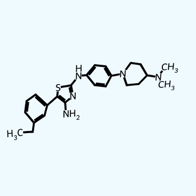 CCc1cccc(-c2sc(Nc3ccc(N4CCC(N(C)C)CC4)cc3)nc2N)c1